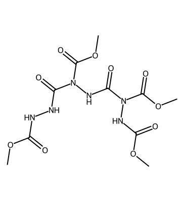 COC(=O)NNC(=O)N(NC(=O)N(NC(=O)OC)C(=O)OC)C(=O)OC